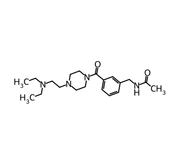 CCN(CC)CCN1CCN(C(=O)c2cccc(CNC(C)=O)c2)CC1